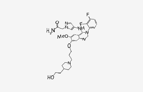 COc1cc2c(cc1OCCCN1CCC(CCO)CC1)=NCN(c1cccc(F)c1F)C=2Nc1cnn(CC(N)=O)c1